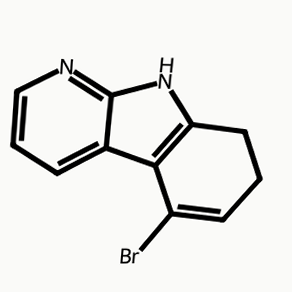 BrC1=CCCc2[nH]c3ncccc3c21